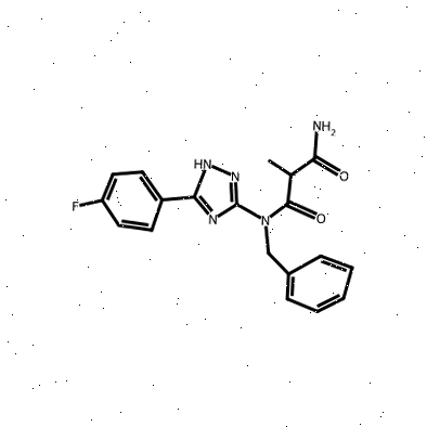 C[C](C(N)=O)C(=O)N(Cc1ccccc1)c1n[nH]c(-c2ccc(F)cc2)n1